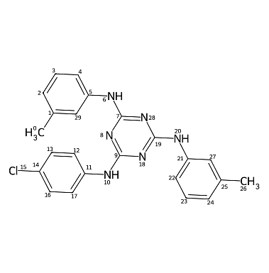 Cc1cccc(Nc2nc(Nc3ccc(Cl)cc3)nc(Nc3cccc(C)c3)n2)c1